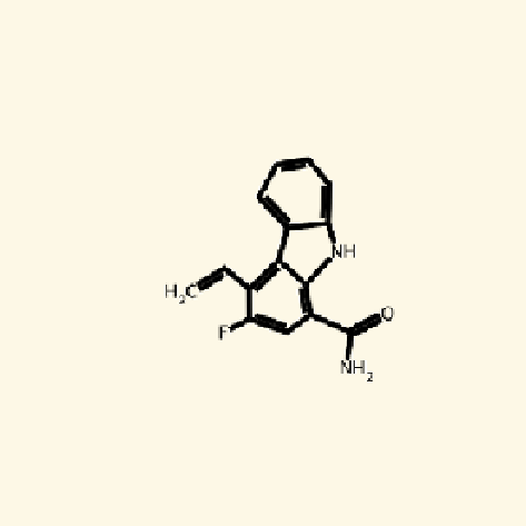 C=Cc1c(F)cc(C(N)=O)c2[nH]c3ccccc3c12